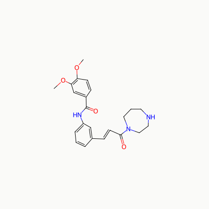 COc1ccc(C(=O)Nc2cccc(/C=C/C(=O)N3CCCNCC3)c2)cc1OC